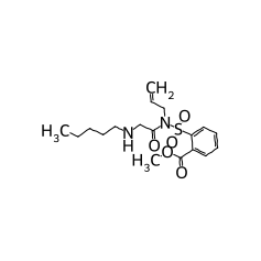 C=CCN(C(=O)CNCCCCC)S(=O)(=O)c1ccccc1C(=O)OC